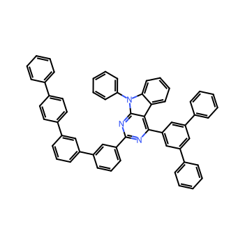 c1ccc(-c2ccc(-c3cccc(-c4cccc(-c5nc(-c6cc(-c7ccccc7)cc(-c7ccccc7)c6)c6c7ccccc7n(-c7ccccc7)c6n5)c4)c3)cc2)cc1